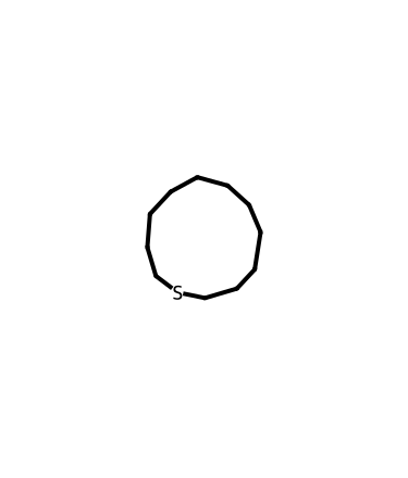 C1CCCCCSCCCCC1